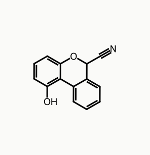 N#CC1Oc2cccc(O)c2-c2ccccc21